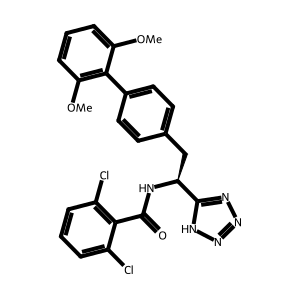 COc1cccc(OC)c1-c1ccc(C[C@H](NC(=O)c2c(Cl)cccc2Cl)c2nnn[nH]2)cc1